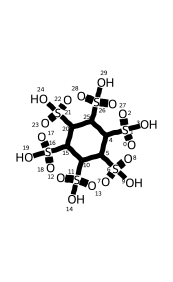 O=S(=O)(O)C1C(S(=O)(=O)O)C(S(=O)(=O)O)C(S(=O)(=O)O)C(S(=O)(=O)O)C1S(=O)(=O)O